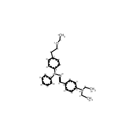 CCOCCc1ccc(N(N=Cc2ccc(N(CC)CC)cc2)c2ccccc2)cc1